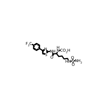 NS(=O)(=O)NCCCCC(NC(=O)O)C(=O)Nc1nc(-c2ccc(C(F)(F)F)cc2)cs1